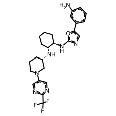 Nc1cccc(-c2cnc(N[C@@H]3CCCC[C@H]3N[C@H]3CCCN(c4cnc(C(F)(F)F)nc4)C3)o2)c1